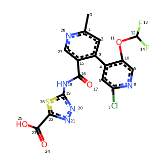 Cc1cc(-c2cc(Cl)ncc2OC(F)F)c(C(=O)Nc2nnc(C(=O)O)s2)cn1